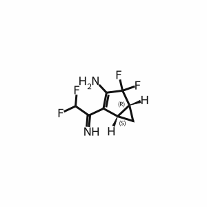 N=C(C1=C(N)C(F)(F)[C@@H]2C[C@H]12)C(F)F